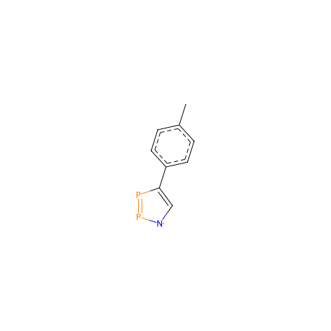 Cc1ccc(C2=C[N]P=P2)cc1